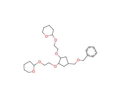 c1ccc(COCC2CC(OCCOC3CCCCO3)C(OCCOC3CCCCO3)C2)cc1